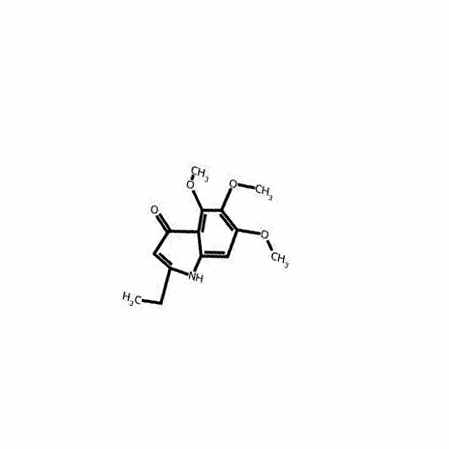 CCc1cc(=O)c2c(OC)c(OC)c(OC)cc2[nH]1